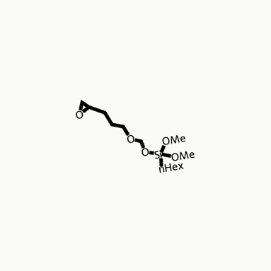 CCCCCC[Si](OC)(OC)OCOCCCC1CO1